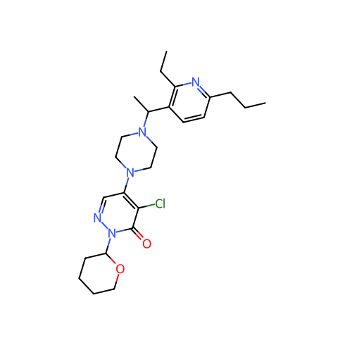 CCCc1ccc(C(C)N2CCN(c3cnn(C4CCCCO4)c(=O)c3Cl)CC2)c(CC)n1